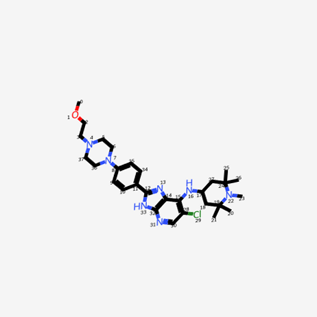 COCCN1CCN(c2ccc(-c3nc4c(NC5CC(C)(C)N(C)C(C)(C)C5)c(Cl)cnc4[nH]3)cc2)CC1